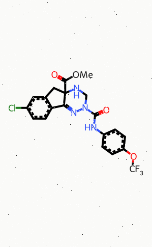 COC(=O)C12Cc3cc(Cl)ccc3C1=NN(C(=O)Nc1ccc(OC(F)(F)F)cc1)CN2